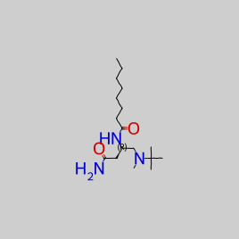 CCCCCCCC(=O)N[C@H](CC(N)=O)CN(C)C(C)(C)C